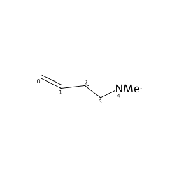 C=C[CH]C[N]C